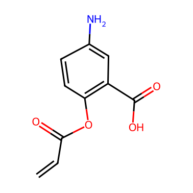 C=CC(=O)Oc1ccc(N)cc1C(=O)O